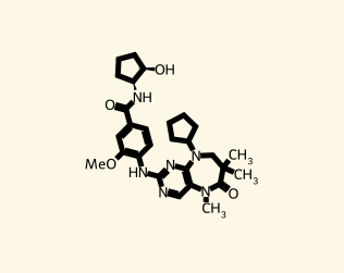 COc1cc(C(=O)N[C@@H]2CCC[C@H]2O)ccc1Nc1ncc2c(n1)N(C1CCCC1)CC(C)(C)C(=O)N2C